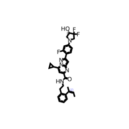 C/C=C(/C)c1ccccc1CCNC(=O)c1cc(C2CC2)n2nc(-c3ccc(N4C[C@H](O)C(F)(F)C4)cc3F)cc2n1